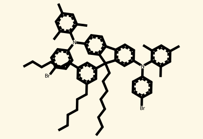 CCCCCCCCC1(c2cc(CCCCCC)cc(CCCCCC)c2)c2cc(N(c3ccc(Br)cc3)c3c(C)cc(C)cc3C)ccc2-c2ccc(N(c3ccc(Br)cc3)c3c(C)cc(C)cc3C)cc21